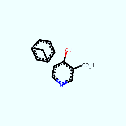 O=C(O)c1cnccc1O.c1cc2cc(c1)C2